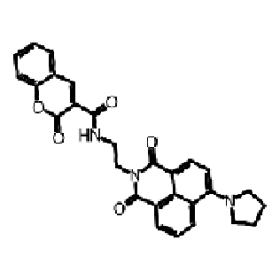 O=C(NCCN1C(=O)c2cccc3c(N4CCCC4)ccc(c23)C1=O)c1cc2ccccc2oc1=O